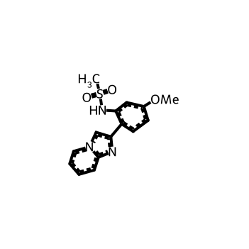 COc1ccc(-c2cn3ccccc3n2)c(NS(C)(=O)=O)c1